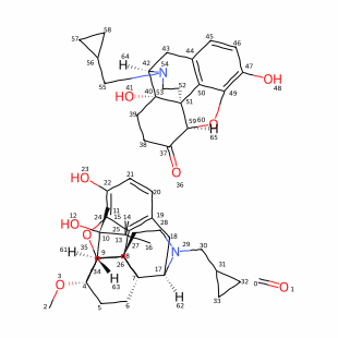 C=O.CO[C@@]12CC[C@@]3(C[C@@H]1[C@](C)(O)C(C)(C)C)[C@H]1Cc4ccc(O)c5c4[C@@]3(CCN1CC1CC1)[C@H]2O5.O=C1CC[C@@]2(O)[C@H]3Cc4ccc(O)c5c4[C@@]2(CCN3CC2CC2)[C@H]1O5